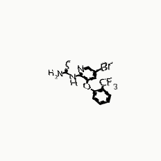 NC(=S)Nc1ncc(Br)cc1Oc1ccccc1C(F)(F)F